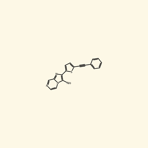 [NH]c1c(-c2ccc(C#Cc3ccccc3)s2)nc2cnccn12